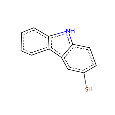 Sc1ccc2[nH]c3ccccc3c2c1